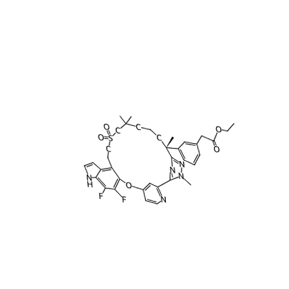 CCOC(=O)Cc1cccc([C@@]2(C)CCCC(C)(C)CS(=O)(=O)CCc3c(c(F)c(F)c4[nH]ccc34)Oc3ccnc(c3)-c3nc2nn3C)c1